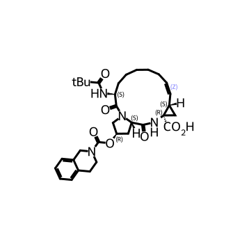 CC(C)(C)C(=O)N[C@H]1CCCCC/C=C\[C@@H]2C[C@@]2(C(=O)O)NC(=O)[C@@H]2C[C@@H](OC(=O)N3CCc4ccccc4C3)CN2C1=O